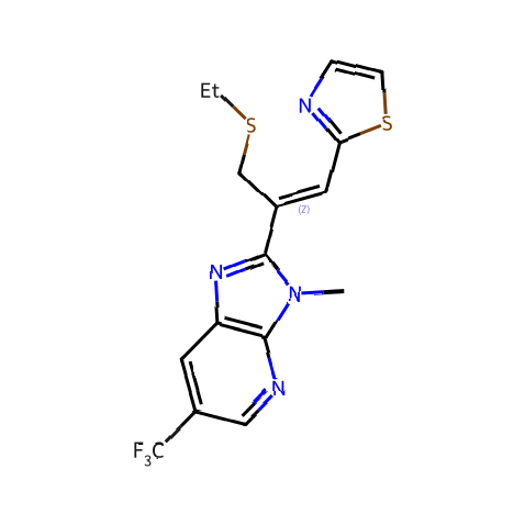 CCSC/C(=C\c1nccs1)c1nc2cc(C(F)(F)F)cnc2n1C